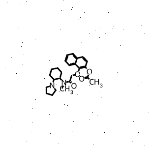 CC(=O)Oc1ccc2ccccc2c1OCC(=O)N(C)C1CCCCC1N1CCCC1